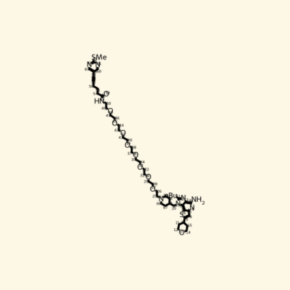 CCCCc1nc2c(N)nc3cc(C4CCOCC4)sc3c2n1CC1CCN(CCOCCOCCOCCOCCOCCOCCOCCOCCNC(=O)CCCC#Cc2cnc(SC)nc2)CC1